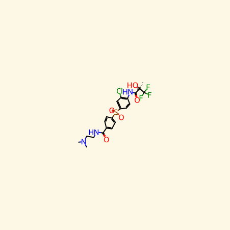 CN(C)CCNC(=O)c1ccc(S(=O)(=O)c2ccc(NC(=O)[C@@](C)(O)C(F)(F)F)c(Cl)c2)cc1